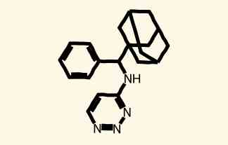 c1ccc(C(Nc2ccnnn2)C23CC4CC(CC(C4)C2)C3)cc1